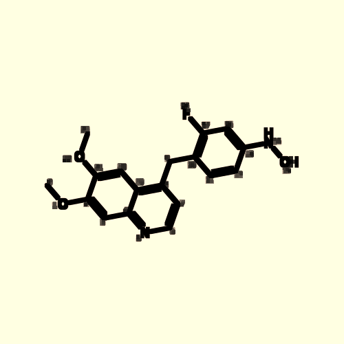 COc1cc2nccc(Cc3ccc(NO)cc3F)c2cc1OC